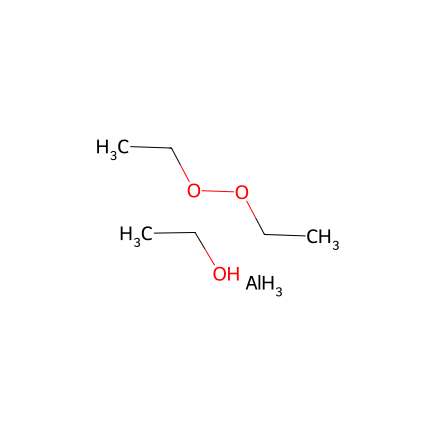 CCO.CCOOCC.[AlH3]